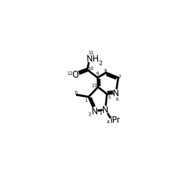 Cc1nn(C(C)C)c2nccc(C(N)=O)c12